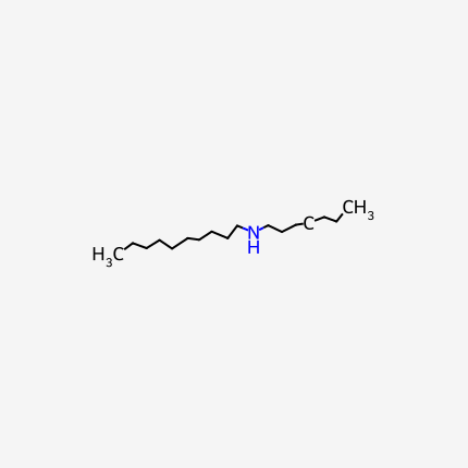 CCCCCCCCCCNCCCCCCC